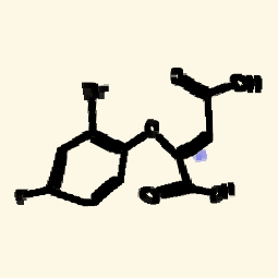 O=C(O)/C=C(\Oc1ccc(F)cc1Br)C(=O)O